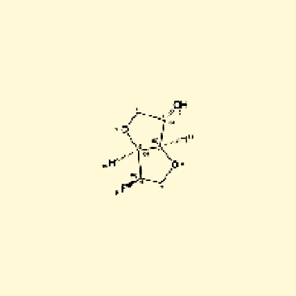 O[C@H]1CO[C@H]2[C@@H]1OC[C@H]2F